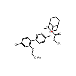 COCOc1cc(Cl)ccc1-c1ccc(O[C@H]2CC3CCCC([C@@H]2F)N3CC(=O)OC(C)(C)C)nn1